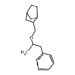 CC(Cc1ccccc1)OCC1CC2CCC1C2